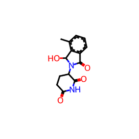 Cc1cccc2c1C(O)N(C1CCC(=O)NC1=O)C2=O